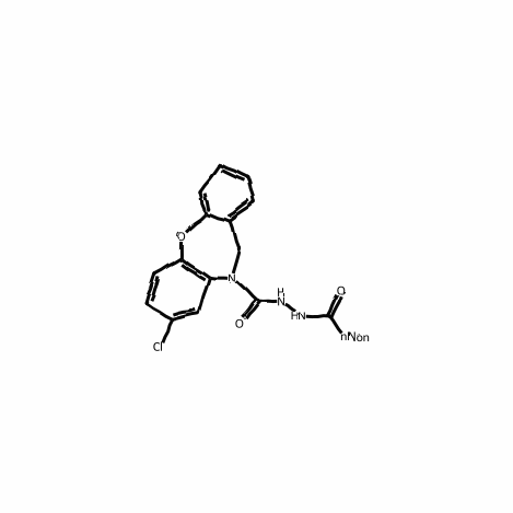 CCCCCCCCCC(=O)NNC(=O)N1Cc2ccccc2Oc2ccc(Cl)cc21